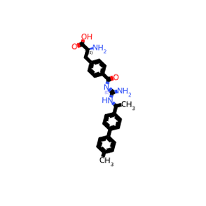 Cc1ccc(-c2ccc(C(C)N/C(N)=N/C(=O)c3ccc(C[C@H](N)C(=O)O)cc3)cc2)cc1